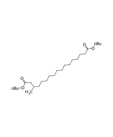 CCCCOC(=O)CCCCCCCCCCCCCC(C)CC(=O)OCCCC